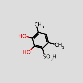 Cc1cc(C)c(S(=O)(=O)O)c(O)c1O